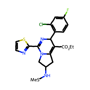 CCOC(=O)C1=C2CC(NSC)CN2C(c2nccs2)=NC1c1ccc(F)cc1Cl